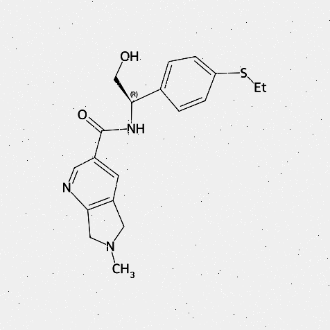 CCSc1ccc([C@H](CO)NC(=O)c2cnc3c(c2)CN(C)C3)cc1